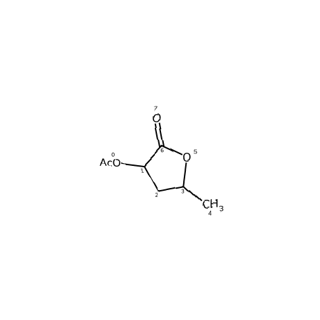 CC(=O)OC1CC(C)OC1=O